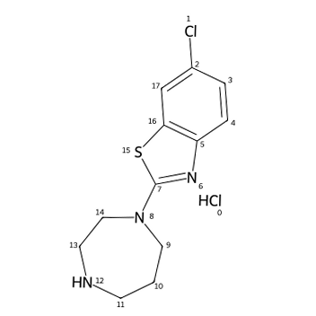 Cl.Clc1ccc2nc(N3CCCNCC3)sc2c1